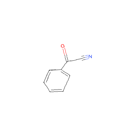 N#CC(=O)c1ccccc1